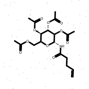 C=CCCC(=O)N[C@@H]1OC(COC(C)=O)[C@@H](OC(C)=O)[C@H](OC(C)=O)C1OC(C)=O